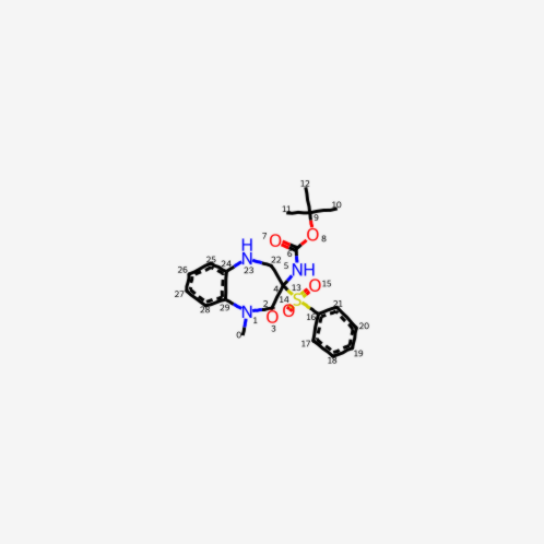 CN1C(=O)C(NC(=O)OC(C)(C)C)(S(=O)(=O)c2ccccc2)CNc2ccccc21